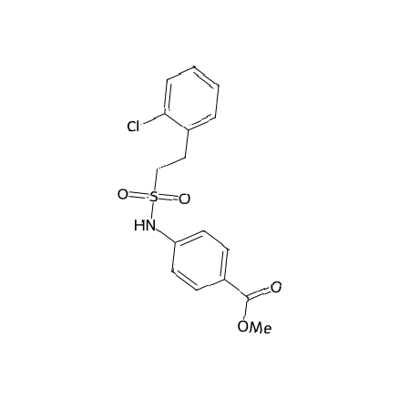 COC(=O)c1ccc(NS(=O)(=O)CCc2ccccc2Cl)cc1